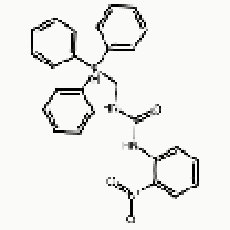 O=C(NC[PH](c1ccccc1)(c1ccccc1)c1ccccc1)Nc1ccccc1[N+](=O)[O-]